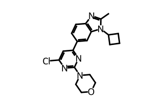 Cc1nc2ccc(-c3cc(Cl)nc(N4CCOCC4)n3)cc2n1C1CCC1